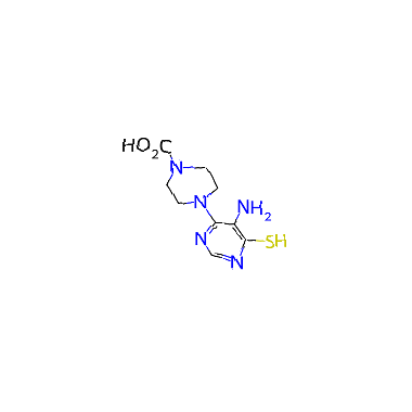 Nc1c(S)ncnc1N1CCN(C(=O)O)CC1